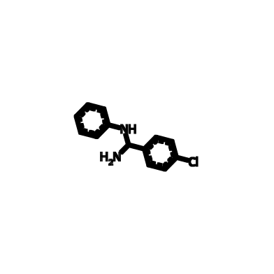 NC(Nc1ccccc1)c1ccc(Cl)cc1